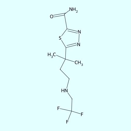 CC(C)(CCNCC(F)(F)F)c1nnc(C(N)=O)s1